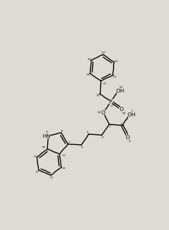 O=C(O)C(CCCc1c[nH]c2ccccc12)OP(=O)(O)Cc1ccccc1